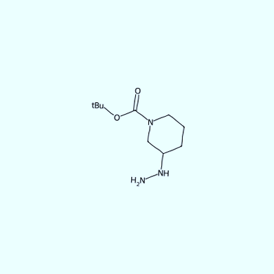 CC(C)(C)OC(=O)N1CCCC(NN)C1